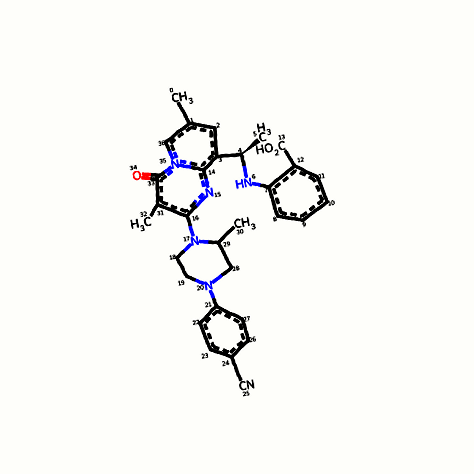 Cc1cc([C@@H](C)Nc2ccccc2C(=O)O)c2nc(N3CCN(c4ccc(C#N)cc4)CC3C)c(C)c(=O)n2c1